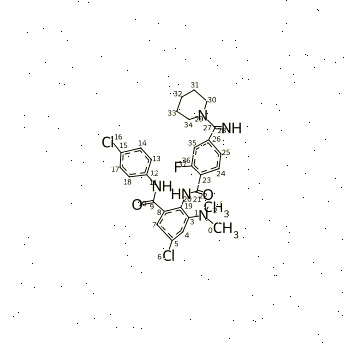 CN(C)c1cc(Cl)cc(C(=O)Nc2ccc(Cl)cc2)c1NC(=O)c1ccc(C(=N)N2CCCCC2)cc1F